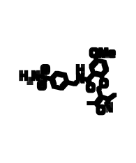 COc1ccc(OCc2c(C)noc2C)c(C(=O)NCc2ccc(S(N)(=O)=O)cc2)c1